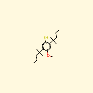 CCCC(C)(C)c1cc(OC)c(C(C)(C)CCC)cc1S